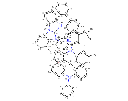 Cc1ccc2c(c1C)N(C1=CC(C(C)(C)C)=CCN1CN1c3c(C)cccc3N3c4ccccc4N(c4c(-c5ccccc5)cccc4-c4ccccc4)C13)c1ccccc1C21c2ccccc2N(c2ccccc2)c2ccccc21